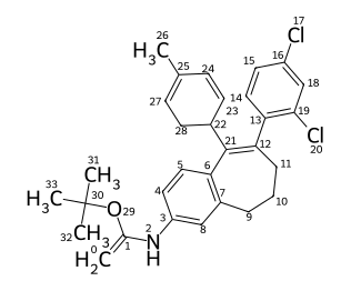 C=C(Nc1ccc2c(c1)CCCC(c1ccc(Cl)cc1Cl)=C2C1C=CC(C)=CC1)OC(C)(C)C